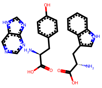 N[C@@H](Cc1c[nH]c2ccccc12)C(=O)O.N[C@@H](Cc1ccc(O)cc1)C(=O)O.c1ncc2[nH]cnc2n1